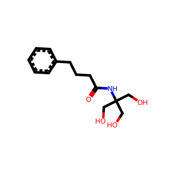 O=C(CCCc1ccccc1)NC(CO)(CO)CO